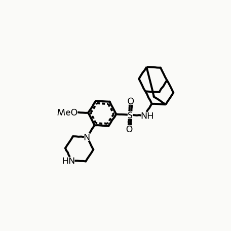 COc1ccc(S(=O)(=O)NC2C3CC4CC(C3)CC2C4)cc1N1CCNCC1